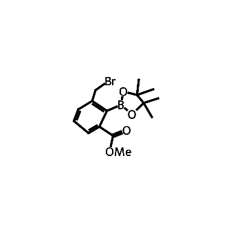 COC(=O)c1cccc(CBr)c1B1OC(C)(C)C(C)(C)O1